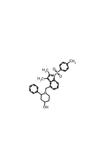 Cc1ccc(S(=O)(=O)n2c(C)c(C)c3c(CN4CCC(O)CC4c4ccccc4)cccc32)cc1